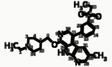 CCN1CCC(COc2ncc(-c3cccc(S(=O)(=O)CC)c3)c3c2[nH]c2ncc(C)cc23)CC1